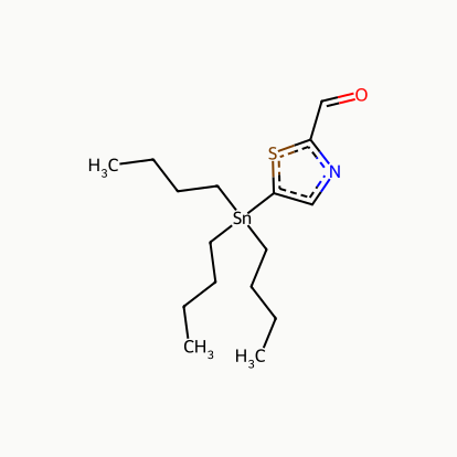 CCC[CH2][Sn]([CH2]CCC)([CH2]CCC)[c]1cnc(C=O)s1